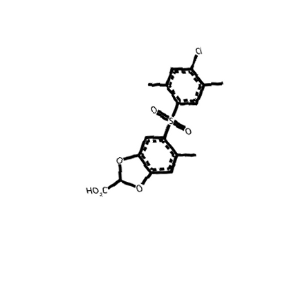 Cc1cc(S(=O)(=O)c2cc3c(cc2C)OC(C(=O)O)O3)c(C)cc1Cl